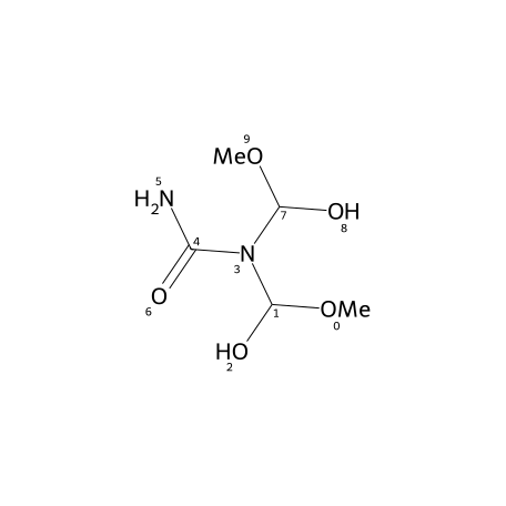 COC(O)N(C(N)=O)C(O)OC